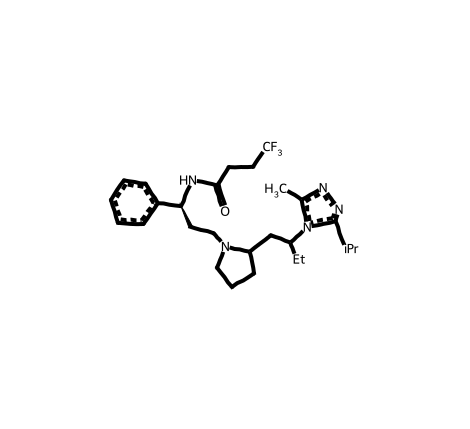 CCC(CC1CCCN1CC[C@H](NC(=O)CCC(F)(F)F)c1ccccc1)n1c(C)nnc1C(C)C